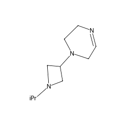 CC(C)N1CC(N2CC=NCC2)C1